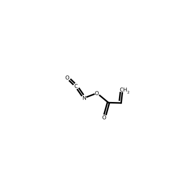 C=CC(=O)ON=C=O